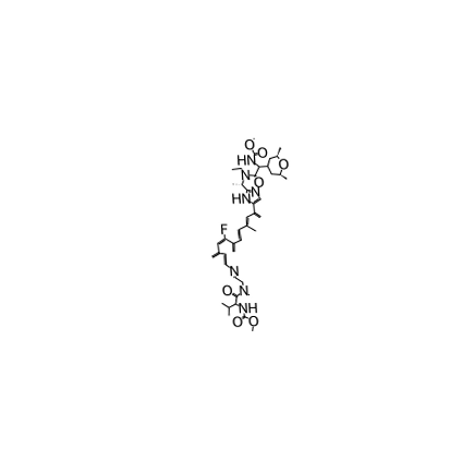 C=C(/C=C/N=C/CN(C)C(=O)[C@@H](NC(=O)OC)C(C)C)/C=C(/F)C(=C)/C=C/C(C)=C/C(=C)c1cnc([C@H](C)N(CC)C(=O)C(NC(=O)OC)C2C[C@@H](C)O[C@@H](C)C2)[nH]1